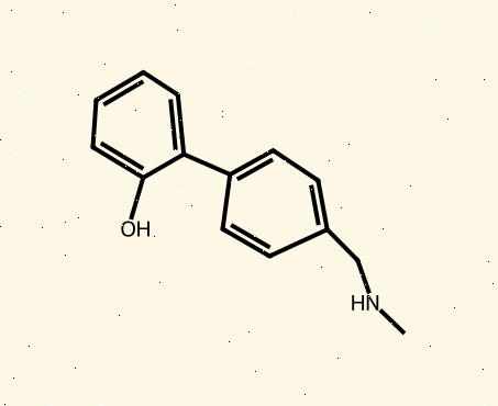 CNCc1ccc(-c2ccccc2O)cc1